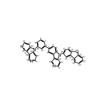 c1cc(-c2ccc3c(c2)c2cnccc2n3-c2ccc3oc4ccccc4c3c2)cc(-n2c3ccncc3c3cnccc32)c1